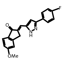 COc1ccc2c(c1)CC(=Cc1cc(-c3ccc(F)cc3)n[nH]1)C2=O